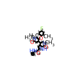 Cc1cc(F)cc(C)c1Oc1cn(C)c(=O)cc1-c1cn(C)c(=O)c2[nH]c(C(=O)NC34CC(C3)C4)cc12